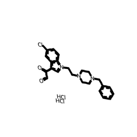 Cl.Cl.O=CC(=O)c1cn(CCN2CCN(Cc3ccccc3)CC2)c2ccc(Cl)cc12